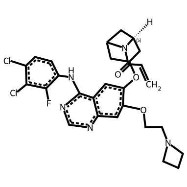 C=CC(=O)N1C2CC(Oc3cc4c(Nc5ccc(Cl)c(Cl)c5F)ncnc4cc3OCCN3CCC3)C[C@@H]1C2